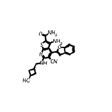 N#Cc1c(NCC2CC(O)C2)nc2sc(C(N)=O)c(N)c2c1-c1cc2ccccc2o1